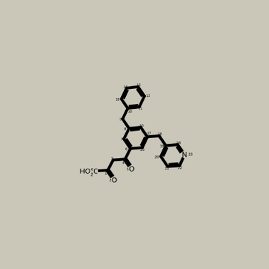 O=C(O)C(=O)CC(=O)c1cc(Cc2ccccc2)cc(Cc2cccnc2)c1